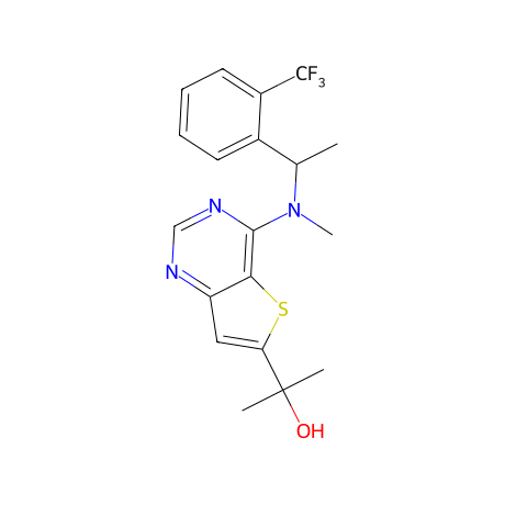 CC(c1ccccc1C(F)(F)F)N(C)c1ncnc2cc(C(C)(C)O)sc12